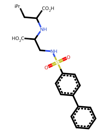 CC(C)CC(NC(CNS(=O)(=O)c1ccc(-c2ccccc2)cc1)C(=O)O)C(=O)O